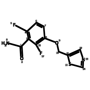 NC(=O)c1c(F)ccc(OCc2cncs2)c1F